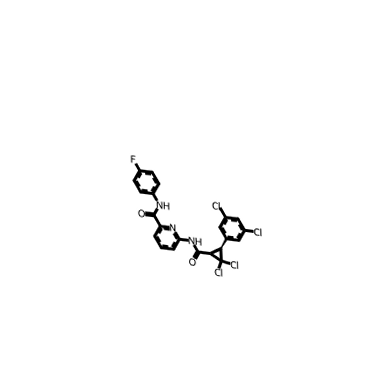 O=C(Nc1ccc(F)cc1)c1cccc(NC(=O)C2[C@@H](c3cc(Cl)cc(Cl)c3)C2(Cl)Cl)n1